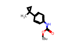 CC(C)(C)OC(=O)Nc1ccc(C2(C)CC2)cc1